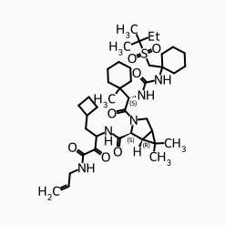 C=CCNC(=O)C(=O)C(CC1CCC1)NC(=O)[C@@H]1[C@@H]2C(CN1C(=O)[C@@H](NC(=O)NC1(CS(=O)(=O)C(C)(C)CC)CCCCC1)C1(C)CCCCC1)C2(C)C